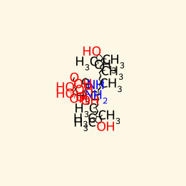 CC1=C[C@H](O)CC(C)(C)[C@H]1/C=C/C(C)=C/C=C/C(C)=C/C=C/C=C(C)/C=C/C=C(C)/C=C/C1=C(C)C[C@@H](O)CC1(C)C.NC(Cc1c[nH]c2ccccc12)C(=O)O.O=C[C@H](O)[C@@H](O)[C@H](O)[C@H](O)CO